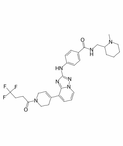 CN1CCCCC1CNC(=O)c1ccc(Nc2nc3c(C4=CCN(C(=O)CCC(F)(F)F)CC4)cccn3n2)cc1